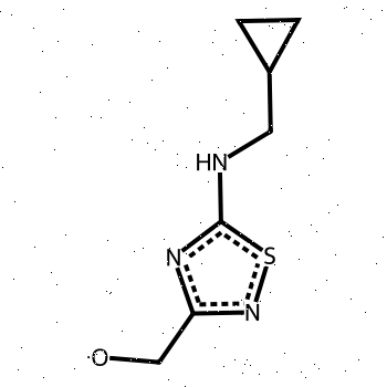 [O]Cc1nsc(NCC2CC2)n1